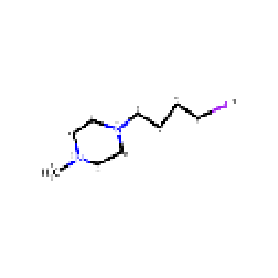 CN1CCN(CCCCI)CC1